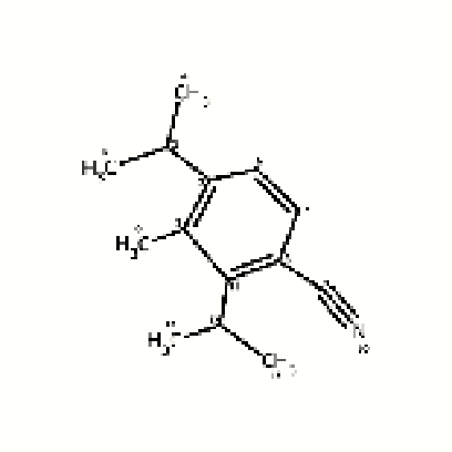 Cc1c(C(C)C)ccc(C#N)c1C(C)C